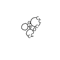 C1CCCCCC2OC3CCCCCCCC3B3C4CCCCCCCCC4OC(CCCC1)C32